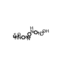 O=C(Nc1ccc(-n2ncc3cc(Nc4ccc(N5CCCC(O)C5)cc4)ccc32)cc1)c1cccs1